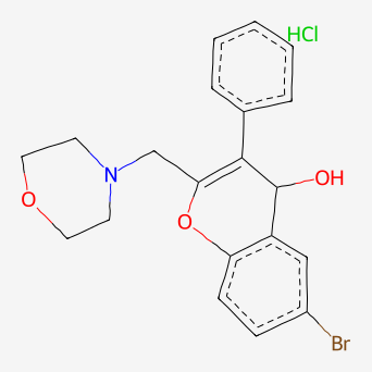 Cl.OC1C(c2ccccc2)=C(CN2CCOCC2)Oc2ccc(Br)cc21